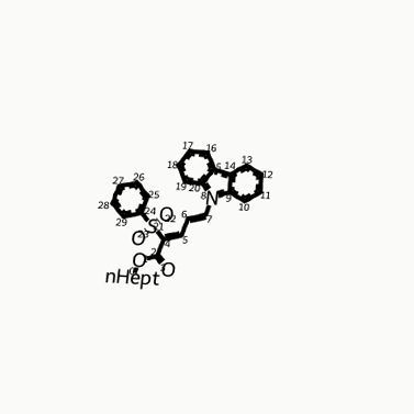 CCCCCCCOC(=O)/C(=C/C=C/n1c2ccccc2c2ccccc21)S(=O)(=O)c1ccccc1